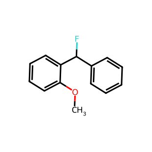 COc1ccccc1C(F)c1ccccc1